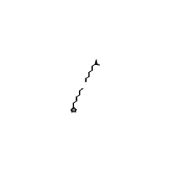 C(CCCC1COC1)CCOCCCCCCC1COC1